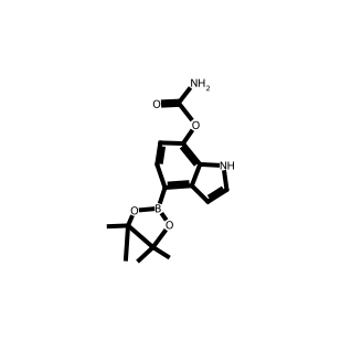 CC1(C)OB(c2ccc(OC(N)=O)c3[nH]ccc23)OC1(C)C